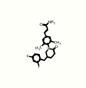 Cc1cc(/C=C/C(N)=O)cc(C)c1N1CC(Cc2ccc(F)cc2F)CCC1=O